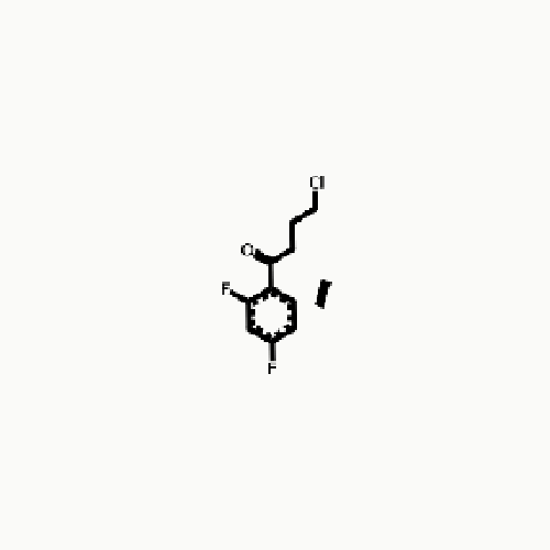 C=C.O=C(CCCCl)c1ccc(F)cc1F